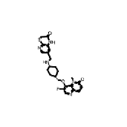 Cn1c(=O)ccc2ncc(F)c(OC[C@H]3CC[C@H](NCc4cnc5c(c4)NC(=O)CS5)CC3)c21